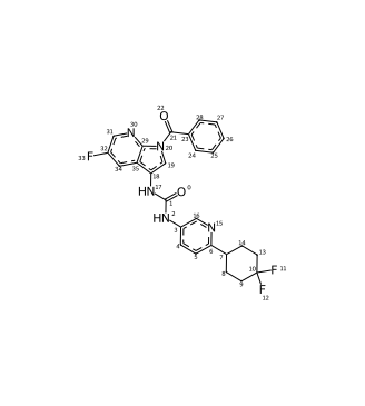 O=C(Nc1ccc(C2CCC(F)(F)CC2)nc1)Nc1cn(C(=O)c2ccccc2)c2ncc(F)cc12